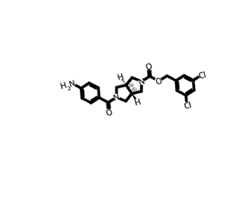 Nc1ccc(C(=O)N2C[C@H]3CN(C(=O)OCc4cc(Cl)cc(Cl)c4)C[C@@H]3C2)cc1